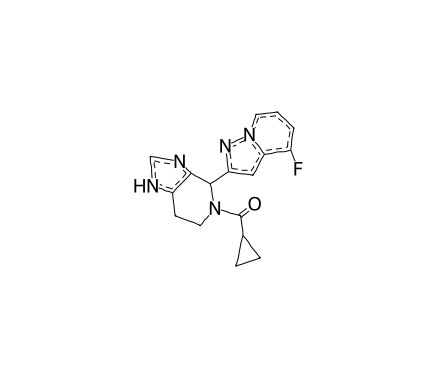 O=C(C1CC1)N1CCc2[nH]cnc2C1c1cc2c(F)cccn2n1